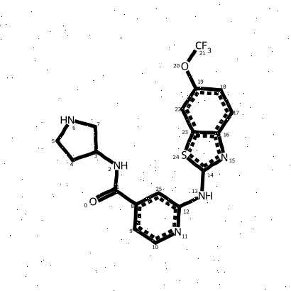 O=C(NC1CCNC1)c1ccnc(Nc2nc3ccc(OC(F)(F)F)cc3s2)c1